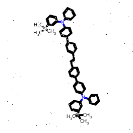 C[Si](C)(C)c1cccc(N(c2ccccc2)c2ccc(-c3ccc(/C=C/c4ccc(-c5ccc(N(c6ccccc6)c6cccc([Si](C)(C)C)c6)cc5)cc4)cc3)cc2)c1